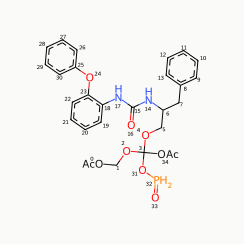 CC(=O)OCOC(OCC(Cc1ccccc1)NC(=O)Nc1ccccc1Oc1ccccc1)(O[PH2]=O)OC(C)=O